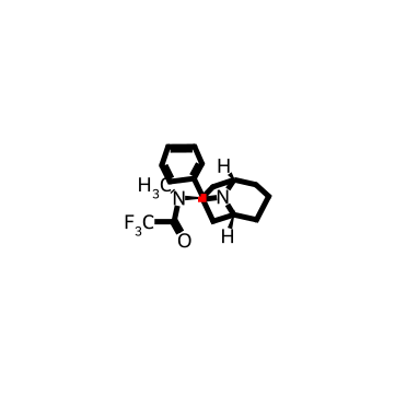 CN(C(=O)C(F)(F)F)[C@@H]1C[C@H]2CCC[C@@H](C1)N2Cc1ccccc1